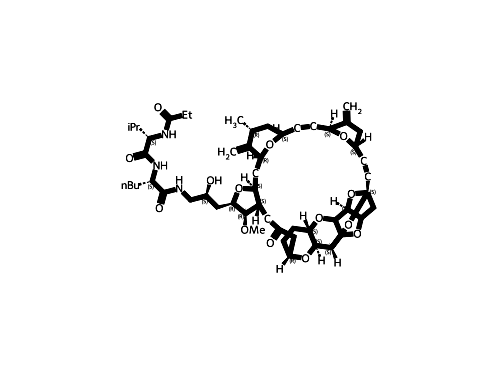 C=C1C[C@@H]2CC[C@@]34CC5OC6C(O[C@H]7CC[C@H](CC(=O)C[C@@H]8[C@@H](OC)[C@@H](C[C@H](O)CNC(=O)[C@H](CCCC)NC(=O)[C@@H](NC(=O)CC)C(C)C)O[C@H]8C[C@H]8O[C@@H](CC[C@@H]1O2)C[C@@H](C)C8=C)O[C@@H]7[C@@H]6O3)[C@H]5O4